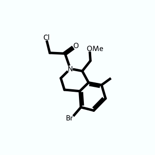 COCC1c2c(C)ccc(Br)c2CCN1C(=O)CCl